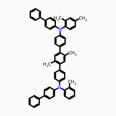 Cc1ccc(N(c2ccc(-c3ccccc3)cc2)c2ccc(-c3cc(C)c(-c4ccc(N(c5ccc(-c6ccccc6)cc5)c5ccccc5C)cc4)cc3C)cc2)c(C)c1